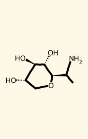 CC(N)[C@H]1OC[C@H](O)[C@@H](O)[C@@H]1O